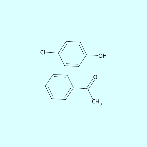 CC(=O)c1ccccc1.Oc1ccc(Cl)cc1